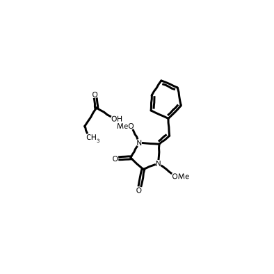 CCC(=O)O.CON1C(=O)C(=O)N(OC)C1=Cc1ccccc1